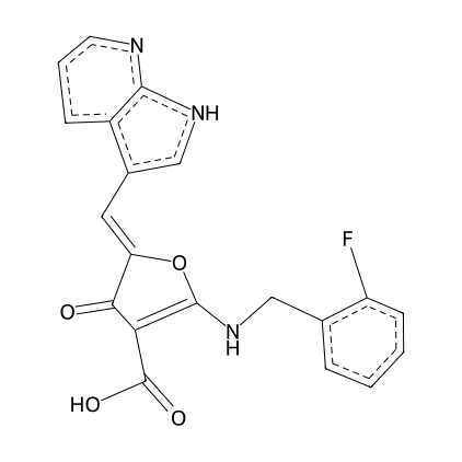 O=C(O)C1=C(NCc2ccccc2F)O/C(=C\c2c[nH]c3ncccc23)C1=O